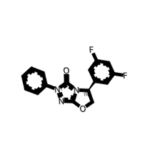 O=c1n(-c2ccccc2)nc2n1[C@@H](c1cc(F)cc(F)c1)CO2